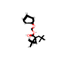 CC(C)(C)CC1(C(=O)OCOC2CCCC2)CC1(C)C